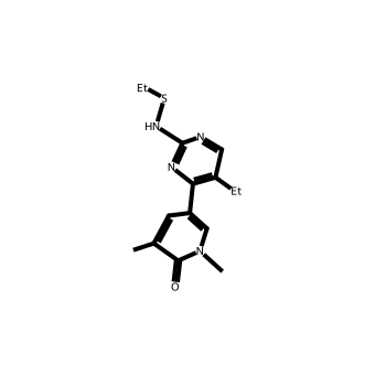 CCSNc1ncc(CC)c(-c2cc(C)c(=O)n(C)c2)n1